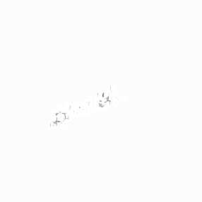 CCOC(OCC)O[SiH2]CCCCCCc1ccc(F)cc1